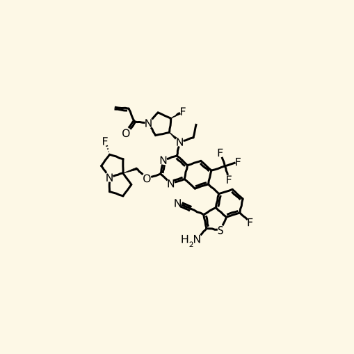 C=CC(=O)N1C[C@@H](F)[C@@H](N(CC)c2nc(OC[C@@]34CCCN3C[C@H](F)C4)nc3cc(-c4ccc(F)c5sc(N)c(C#N)c45)c(C(F)(F)F)cc23)C1